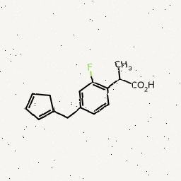 CC(C(=O)O)c1ccc(CC2=CC=CC2)cc1F